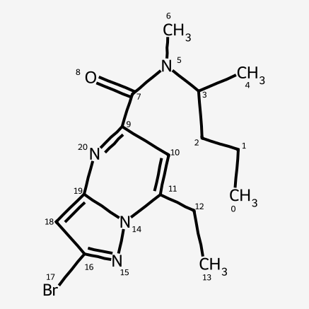 CCCC(C)N(C)C(=O)c1cc(CC)n2nc(Br)cc2n1